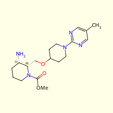 COC(=O)N1CCC[C@H](N)[C@@H]1COC1CCN(c2ncc(C)cn2)CC1